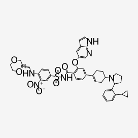 O=C(NS(=O)(=O)c1ccc(NC[C@@H]2COCCO2)c([N+](=O)[O-])c1)c1ccc(C2=CCC(N3CCCC3c3ccccc3C3CC3)CC2)cc1Oc1cnc2[nH]ccc2c1